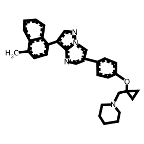 Cc1ccc(-c2cnn3cc(-c4ccc(OC5(CN6CCCCC6)CC5)cc4)cnc23)c2ccccc12